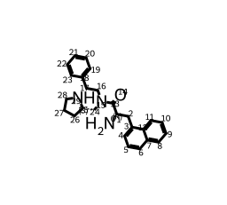 N[C@H](Cc1cccc2ccccc12)C(=O)N(CCc1ccccc1)C[C@@H]1CCCN1